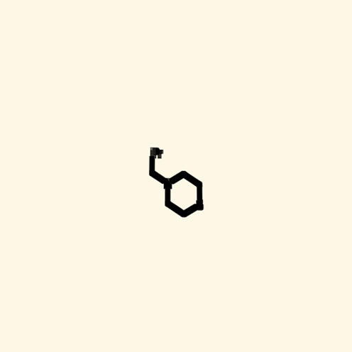 CC(C)CN1CCSCC1